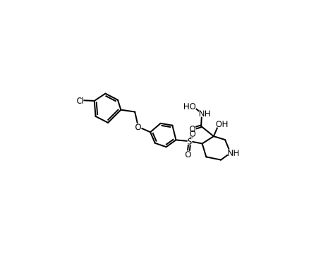 O=C(NO)C1(O)CNCCC1S(=O)(=O)c1ccc(OCc2ccc(Cl)cc2)cc1